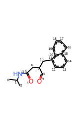 CC(C)NC(=O)CC(C=O)Cc1cccc2ccccc12